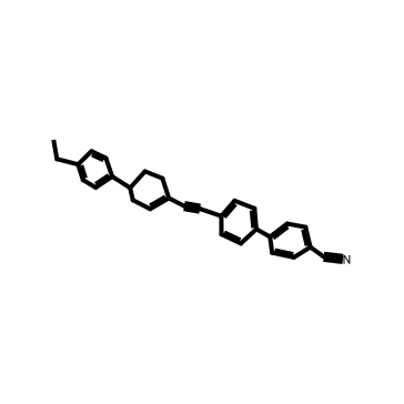 CCc1ccc(C2CC=C(C#Cc3ccc(-c4ccc(C#N)cc4)cc3)CC2)cc1